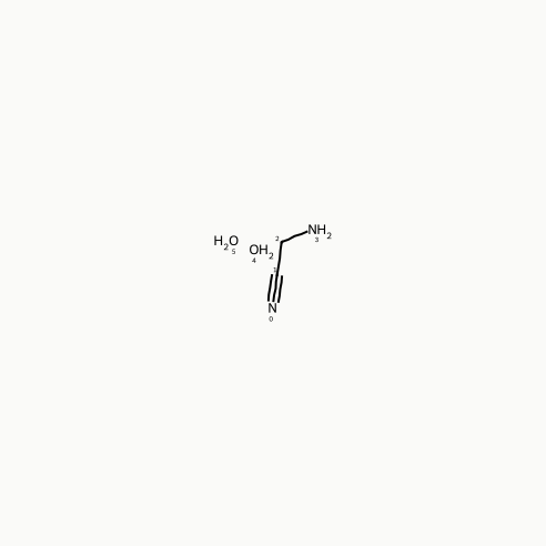 N#CCN.O.O